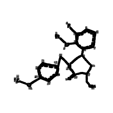 CCOc1c(F)cccc1C1CC(O)C(=O)N1Cc1ccc(OC(F)(F)F)cc1